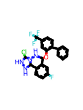 Fc1ccc2c(c1)C(Oc1cc(C(F)(F)F)ccc1-c1ccccc1)NN1C(Cl)NNC21